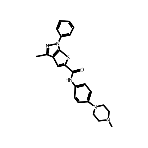 Cc1nn(-c2ccccc2)c2sc(C(=O)Nc3ccc(N4CCN(C)CC4)cc3)cc12